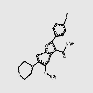 CNC(=O)c1c(-c2ccc(F)cc2)oc2cc(N3CCSCC3)c(OC(C)C)cc12